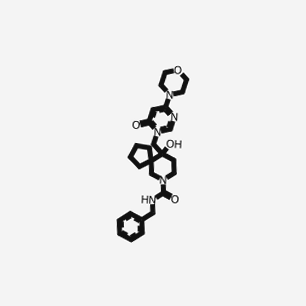 O=C(NCc1ccccc1)N1CCC(O)(Cn2cnc(N3CCOCC3)cc2=O)C2(CCCC2)C1